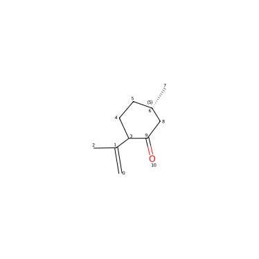 C=C(C)C1CC[C@H](C)CC1=O